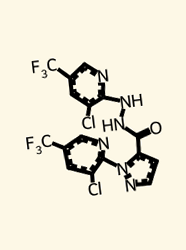 O=C(NNc1ncc(C(F)(F)F)cc1Cl)c1ccnn1-c1ncc(C(F)(F)F)cc1Cl